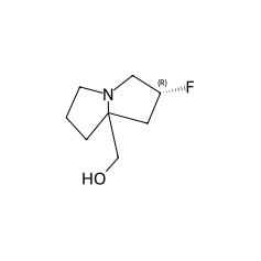 OCC12CCCN1C[C@H](F)C2